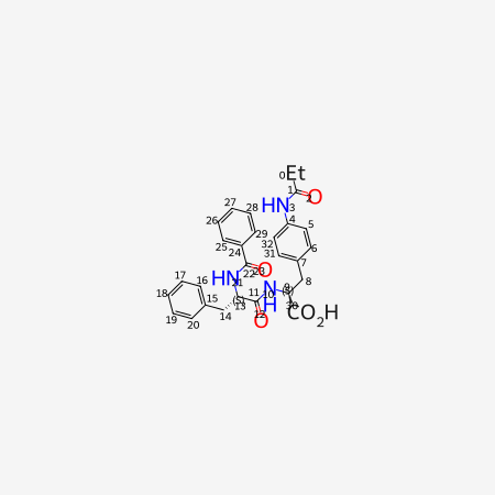 CCC(=O)Nc1ccc(C[C@H](NC(=O)[C@H](Cc2ccccc2)NC(=O)c2ccccc2)C(=O)O)cc1